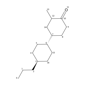 CCC[C@H]1CC[C@H](C2CCC(=O)C(C)C2)CC1